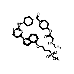 CNCC(=O)OC1CCN(C(=O)[C@H]2CC[C@H](Nc3nccc(-n4ccc5c(OCCCS(C)(=O)=O)cccc54)n3)CC2)CC1